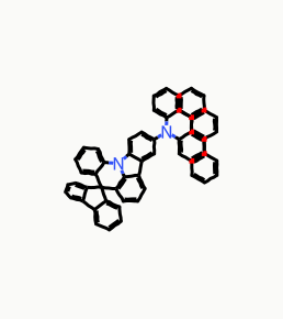 c1ccc(-c2cccc(-c3ccccc3N(c3ccc4c(c3)c3cccc5c3n4-c3ccccc3C53c4ccccc4-c4ccccc43)c3ccccc3-c3ccccc3)c2)cc1